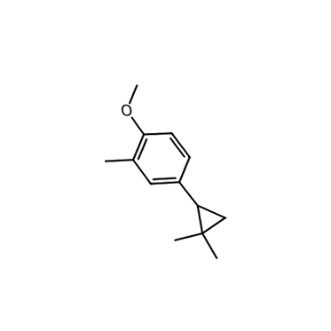 COc1ccc(C2CC2(C)C)cc1C